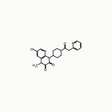 Cn1c(=O)c(=O)n(C2CCN(C(=O)Cc3ccccn3)CC2)c2ncc(Cl)cc21